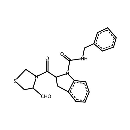 O=CC1CSCN1C(=O)C1Cc2ccccc2N1C(=O)NCc1ccccc1